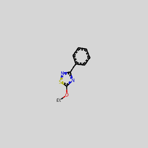 CCOc1nc(-c2ccccc2)ns1